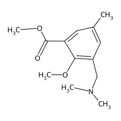 COC(=O)c1cc(C)cc(CN(C)C)c1OC